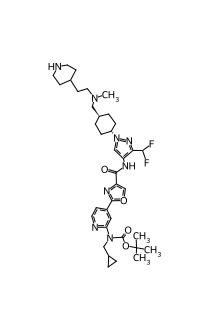 CN(CCC1CCNCC1)C[C@H]1CC[C@H](n2cc(NC(=O)c3coc(-c4ccnc(N(CC5CC5)C(=O)OC(C)(C)C)c4)n3)c(C(F)F)n2)CC1